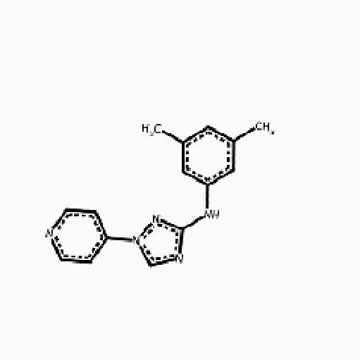 Cc1cc(C)cc(Nc2ncn(-c3ccncc3)n2)c1